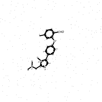 Cc1ccc(C=O)c(Oc2ccc(-c3cnc(CN(C)C)n3C)cc2)c1